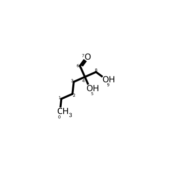 CCCCC(O)([C]=O)CO